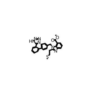 COC(=O)c1cccc2nc(CCSC)n(Cc3ccc(-c4ccccc4-c4nnn[nH]4)cc3)c12